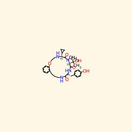 CN1C(=O)[C@H](C2CC2)NCCOc2ccccc2CCCNC(=O)[C@@H](Cc2ccc(O)cc2)NC(=O)[C@@H]1C(C)(C)O